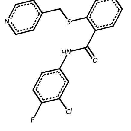 O=C(Nc1ccc(F)c(Cl)c1)c1ccccc1SCc1ccncc1